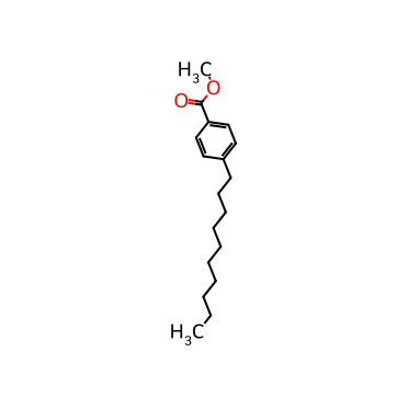 CCCCCCCCCCc1ccc(C(=O)OC)cc1